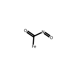 O=N[C](=O)[Fe]